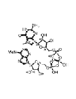 CNc1ncnc2c1ncn2[C@@H]1O[C@H](COP(=O)(O)OP(=O)(O)OP(=O)(O)OC[C@H]2O[C@@H](n3c[n+](C)c4c(=O)[nH]c(N)nc43)[C@@H](O)C2O)C(O)[C@@H]1O